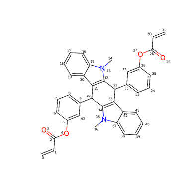 C=CC(=O)Oc1cccc(C2c3c(n(C)c4ccccc34)C(c3cccc(OC(=O)C=C)c3)c3c2n(C)c2ccccc32)c1